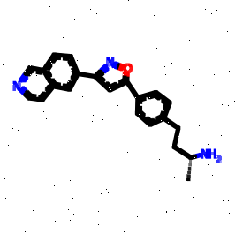 C[C@@H](N)CCc1ccc(-c2cc(-c3ccc4cnccc4c3)no2)cc1